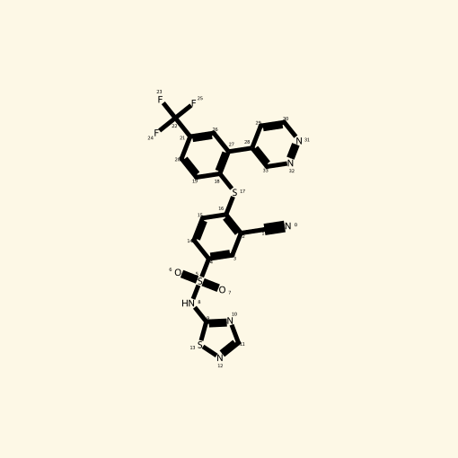 N#Cc1cc(S(=O)(=O)Nc2ncns2)ccc1Sc1ccc(C(F)(F)F)cc1-c1ccnnc1